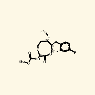 CCCO[C@H]1CCC[C@H](NC(=O)OC(C)(C)C)C(=O)O[C@@H](C)[C@@H]1Cc1ccc(F)cc1